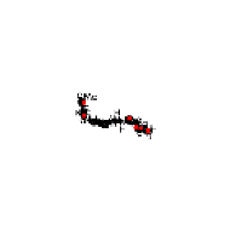 COc1ccc(COc2c(F)cc(C(=O)NC[C@H]3CC[C@H](n4cc5ccc(-c6cnc(NCCNC7COC8(CCN(C(=O)c9ccc(C)c(N%10CCC(=O)NC%10=O)c9)CC8)C7)nc6)cc5n4)CC3)c(F)c2F)cc1